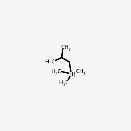 CC(C)[CH2][Hf]([CH3])([CH3])[CH3]